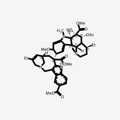 CCC1=C[C@H]2CN(C1)Cc1c([nH]c3ccc(C(=O)OC)cc13)[C@@](C(=O)OC)(C1C=C3C(=CC1OC)N(C)[C@H]1[C@@](O)(C(=O)OC)[C@H](OC(C)=O)C4[C@@H](CC)CCN5CC[C@]31[C@H]45)C2